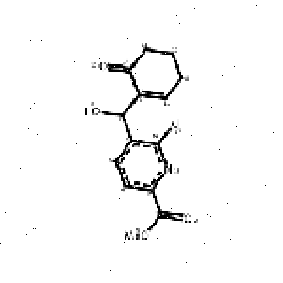 COC(=O)c1ccc(C(O)C2=CCCCC2=O)c(Cl)n1